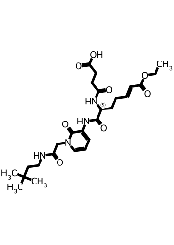 CCOC(=O)C=CCC[C@H](NC(=O)CCC(=O)O)C(=O)Nc1cccn(CC(=O)NCCC(C)(C)C)c1=O